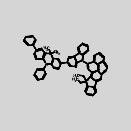 CCC1(CC)c2ccccc2-c2cc3ccc4cccc5c(-n6c7ccccc7c7cc(-c8ccc9c(c8)C(C)(C)c8cc(-c%10ccccc%10)ccc8N9c8ccccc8)ccc76)cc(c21)c3c45